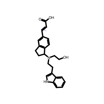 O=C(O)/C=C/c1ccc2c(c1)CCC2N(CCO)CCc1c[nH]c2ccccc12